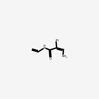 C=CNC(=O)/C(=C\N)C(C)C